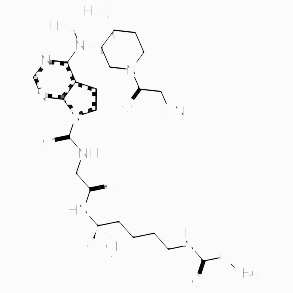 C[C@@H]1CCN(C(=O)CC#N)C[C@@H]1N(C)c1ncnc2c1ccn2C(=O)NCC(=O)N[C@@H](CCCCNC(=O)OC(C)(C)C)C(=O)O